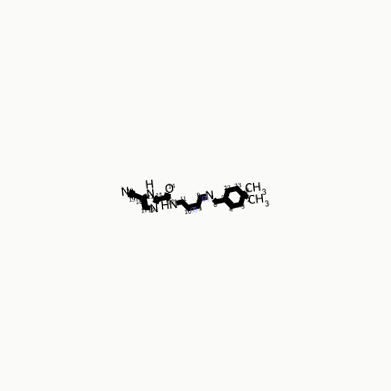 CC1(C)CC=C(C/N=C\C=C/CNC(=O)c2ncc(C#N)[nH]2)CC1